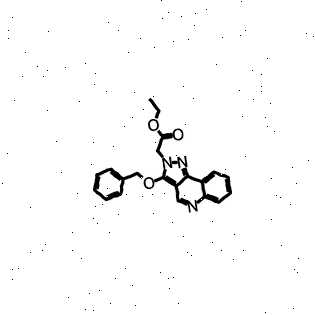 CCOC(=O)Cn1nc2c(cnc3ccccc32)c1OCc1ccccc1